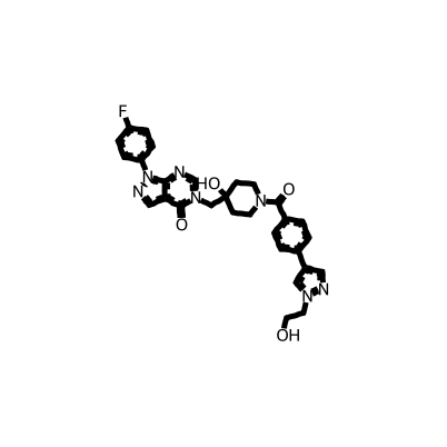 O=C(c1ccc(-c2cnn(CCO)c2)cc1)N1CCC(O)(Cn2cnc3c(cnn3-c3ccc(F)cc3)c2=O)CC1